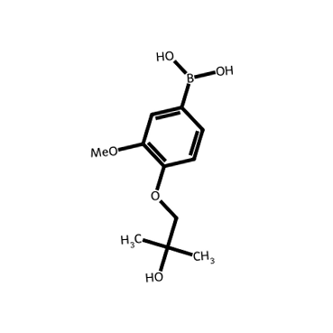 COc1cc(B(O)O)ccc1OCC(C)(C)O